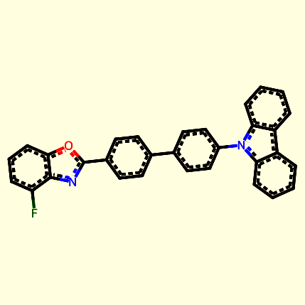 Fc1cccc2oc(-c3ccc(-c4ccc(-n5c6ccccc6c6ccccc65)cc4)cc3)nc12